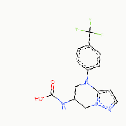 O=C(O)NC1CN(c2ccc(C(F)(F)F)cc2)c2ccnn2C1